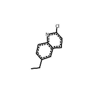 CCc1ccc2nc(Cl)ccc2c1